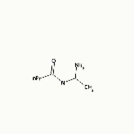 CCCC(=O)[N]C(C)N